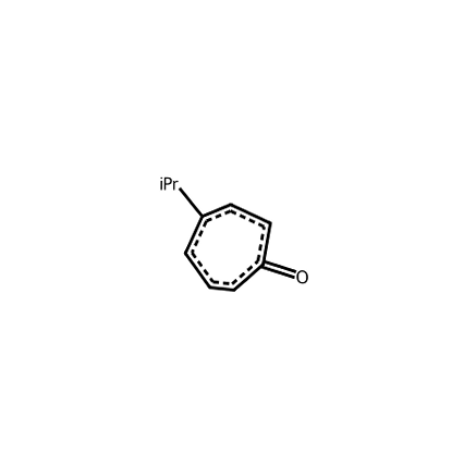 CC(C)c1cccc(=O)cc1